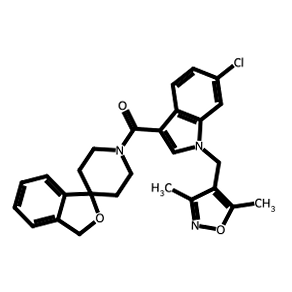 Cc1noc(C)c1Cn1cc(C(=O)N2CCC3(CC2)OCc2ccccc23)c2ccc(Cl)cc21